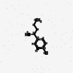 CCCC(O)c1ccc(Cl)nc1